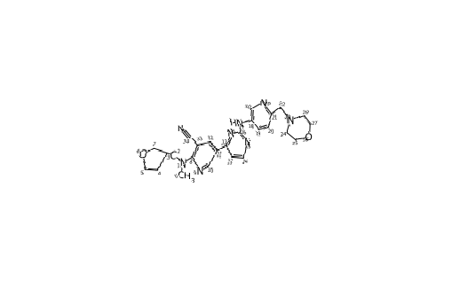 CN(CC1CCOC1)c1ncc(-c2ccnc(Nc3ccc(CN4CCOCC4)nc3)n2)cc1C#N